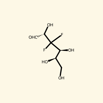 O=C[C@H](O)C(F)(F)[C@@H](O)[C@H](O)CO